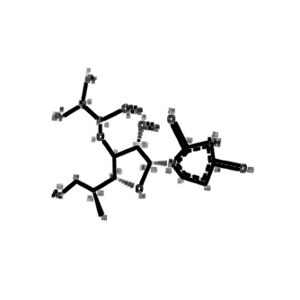 CO[C@H]1C(OP(OC)N(C(C)C)C(C)C)[C@@H]([C@@H](C)CC(C)=O)O[C@H]1n1ccc(=O)[nH]c1=O